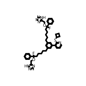 FC(CCCCCc1cc(CCCCCC(F)(OCc2nnn[nH]2)c2ccccc2)cc(-c2cccnc2SC2CCC2)c1)(OCc1nnn[nH]1)c1ccccc1